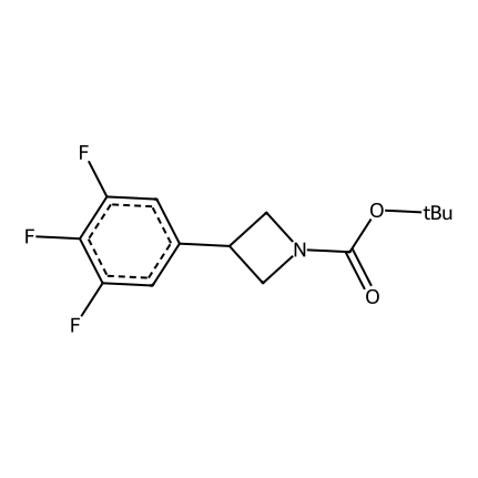 CC(C)(C)OC(=O)N1CC(c2cc(F)c(F)c(F)c2)C1